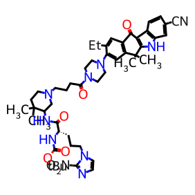 CCc1cc2c(cc1N1CCN(C(=O)CCCN3CCC(C)(C)C(NC(=O)[C@H](CCCn4ccnc4[N+](=O)[O-])NC(=O)OC(C)(C)C)C3)CC1)C(C)(C)c1[nH]c3cc(C#N)ccc3c1C2=O